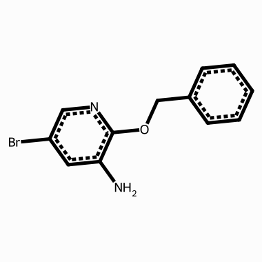 Nc1cc(Br)cnc1OCc1ccccc1